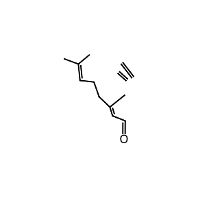 C=C.C=C.CC(C)=CCC/C(C)=C/C=O